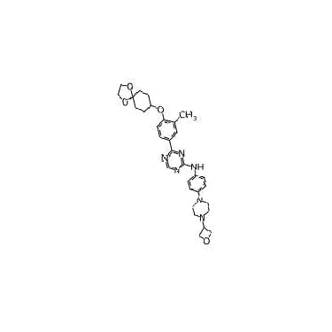 Cc1cc(-c2ncnc(Nc3ccc(N4CCN(C5COC5)CC4)cc3)n2)ccc1OC1CCC2(CC1)OCCO2